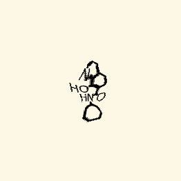 O=C(NC1CCCCCC1)c1ccc2cccnc2c1O